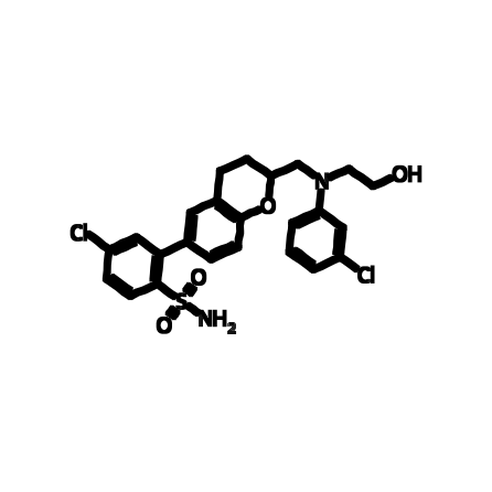 NS(=O)(=O)c1ccc(Cl)cc1-c1ccc2c(c1)CCC(CN(CCO)c1cccc(Cl)c1)O2